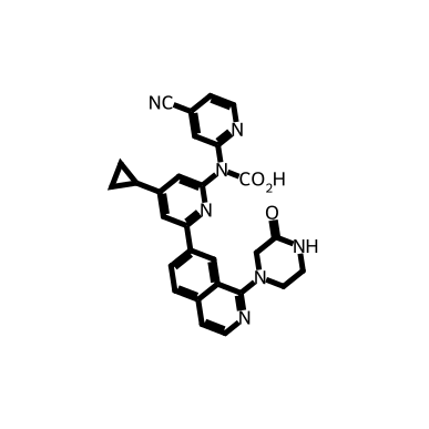 N#Cc1ccnc(N(C(=O)O)c2cc(C3CC3)cc(-c3ccc4ccnc(N5CCNC(=O)C5)c4c3)n2)c1